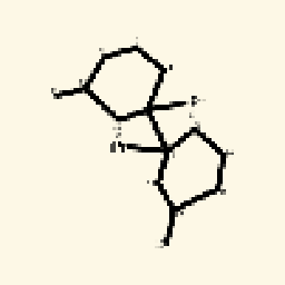 CC1CCCC(C(C)C)(C2(C(C)C)CCCC(C)C2)C1